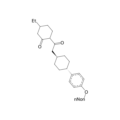 CCCCCCCCCOc1ccc([C@H]2CC[C@H](CC(=O)C3CCC(CC)CC3=O)CC2)cc1